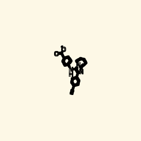 C#Cc1ccc(-c2nc3ccccn3c2Nc2ccc(C(=O)OC)cc2)cc1